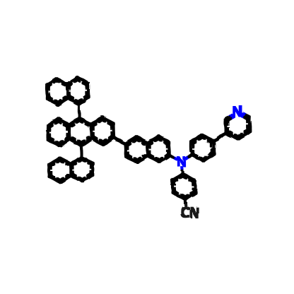 N#Cc1ccc(N(c2ccc(-c3cccnc3)cc2)c2ccc3cc(-c4ccc5c(-c6cccc7ccccc67)c6ccccc6c(-c6cccc7ccccc67)c5c4)ccc3c2)cc1